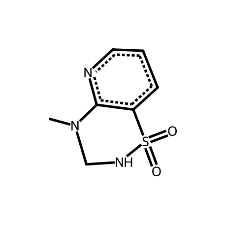 CN1CNS(=O)(=O)c2cccnc21